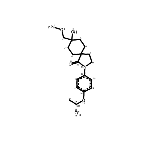 CCCOCC1(O)CCC2(CCN(c3ccc(O[C@@H](C)C(F)(F)F)cc3)C2=O)CC1